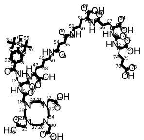 CC(C)(C)[Si](F)(c1ccc(C(=O)NC[C@@H](NC(=O)CN2CCN(CC(=O)O)CCN(CC(=O)O)CCN(CC(=O)O)CC2)C(=O)N[C@@H](CCCCNC(=O)CCC(=O)NCCC[C@H](NC(=O)CC[C@H](NC(=O)N[C@@H](CCCC(=O)O)C(=O)O)C(=O)O)C(=O)O)C(=O)O)cc1)C(C)(C)C